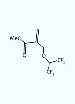 C=C(COC(C(F)(F)F)C(F)(F)F)C(=O)OC